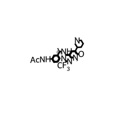 CC(=O)Nc1cc([C@@H](C)Nc2ncnc3c2cc(C2CCCN(C)C2)c(=O)n3C)cc(C(F)(F)F)c1